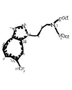 CCCCCCCCN(CCCCCCCC)CCn1nnc2ccc(C(F)(F)F)cc21